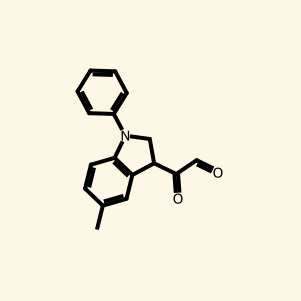 Cc1ccc2c(c1)C(C(=O)C=O)CN2c1ccccc1